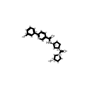 O=C(N[C@H]1CC[C@@H](C(=O)N2CC[C@H](F)C2)C1)c1ccc(-c2cccc(F)c2)nc1